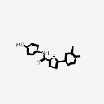 Cc1ccc(-c2ccc(C(=O)Nc3ccc(O)cc3)s2)cc1C